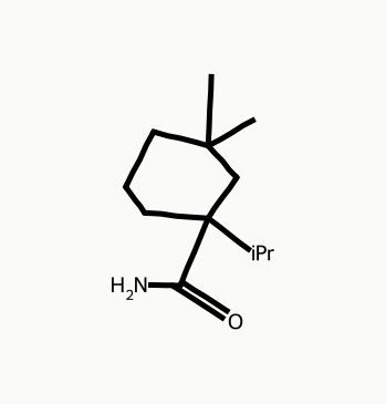 CC(C)C1(C(N)=O)CCCC(C)(C)C1